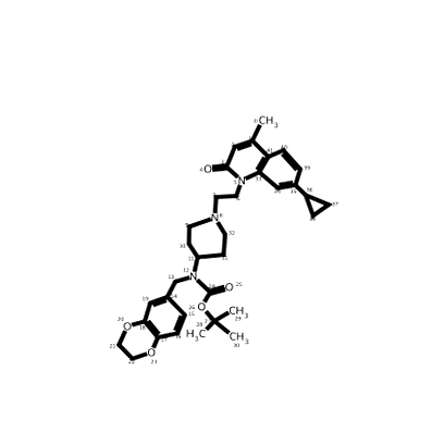 Cc1cc(=O)n(CCN2CCC(N(Cc3ccc4c(c3)OCCO4)C(=O)OC(C)(C)C)CC2)c2cc(C3CC3)ccc12